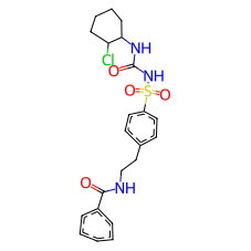 O=C(NC1CCCCC1Cl)NS(=O)(=O)c1ccc(CCNC(=O)c2ccccc2)cc1